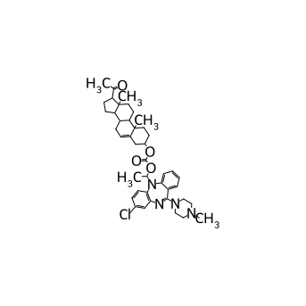 CC(=O)C1CCC2C3CC=C4CC(OC(=O)OC(C)N5c6ccc(Cl)cc6N=C(N6CCN(C)CC6)c6ccccc65)CCC4(C)C3CCC12C